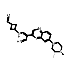 C[C@@H]1CN(c2ccc3ncc(/C(C=N)=C/NC4CC(C=O)C4)nc3c2)CCN1C